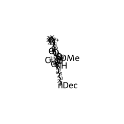 CCCCCCCCCCCCCCCCCCNC(=O)OC[C@@H](COC(=O)CCC[n+]1ccccc1)OC(=O)OC.[Cl-]